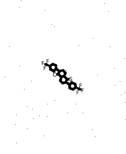 FC(F)(F)c1ccc2c(c1)oc1c2ccc2c1ccc1c3ccc(C(F)(F)F)cc3sc12